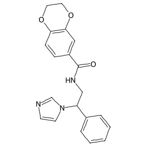 O=C(NCC(c1ccccc1)n1ccnc1)c1ccc2c(c1)OCCO2